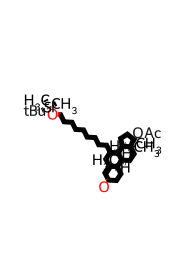 CC(=O)OC1(C)CC[C@H]2[C@@H]3C(CCCCCCCCCO[Si](C)(C)C(C)(C)C)CC4=CC(=O)CC[C@]4(C)[C@@H]3CC[C@@]21C